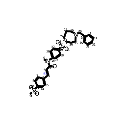 CN(C(=O)/C=C/c1ccc(S(C)(=O)=O)cc1)c1ccc(S(=O)(=O)N2CCCN(Cc3ccccc3)CC2)cc1